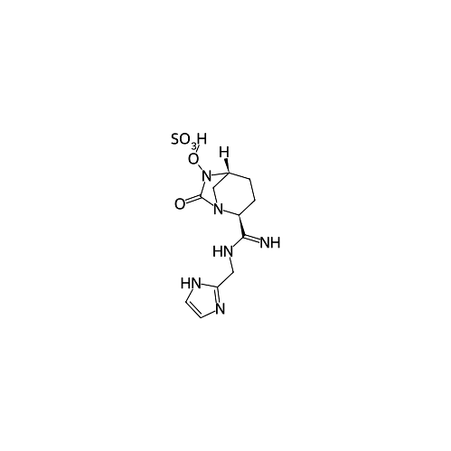 N=C(NCc1ncc[nH]1)[C@@H]1CC[C@@H]2CN1C(=O)N2OS(=O)(=O)O